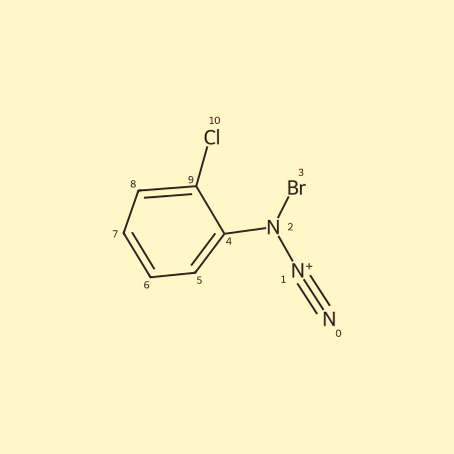 N#[N+]N(Br)c1ccccc1Cl